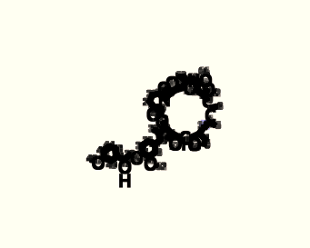 CCC1/C=C(\C)CC(C)CC(OC)C2OC(O)(C(=O)C(=O)N3CCCCC3C(=O)OC(C(C)=CC3CCC(OCC(O)c4cccc(OC)c4)C(OC)C3)C(C)C(O)CC1=O)C(C)CC2OC